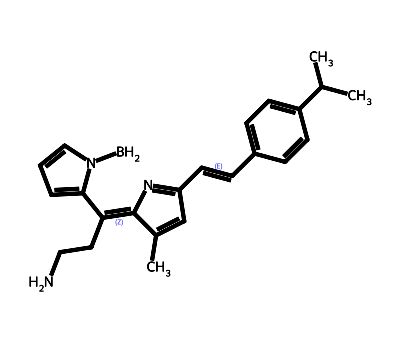 Bn1cccc1/C(CCN)=C1N=C(/C=C/c2ccc(C(C)C)cc2)C=C\1C